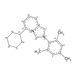 Cc1cc(C)c(-[n+]2cc3cccc(C4CCCCC4)n3c2)c(C)c1